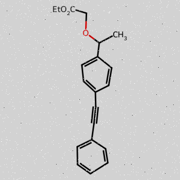 CCOC(=O)COC(C)c1ccc(C#Cc2ccccc2)cc1